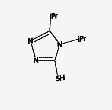 CC(C)c1nnc(S)n1C(C)C